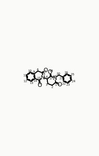 O=C1CCC(N2C(=O)Cc3ccccc3C2=O)C(=O)N1Cc1ccccc1